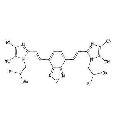 CCCCC(CC)Cn1c(/C=C/c2ccc(/C=C/c3nc(C#N)c(C#N)n3CC(CC)CCCC)c3nsnc23)nc(C#N)c1C#N